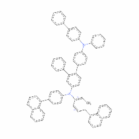 C/C=C(\C=C/Cc1cccc2ccccc12)N(c1ccc(-c2cccc3ccccc23)cc1)c1ccc(-c2ccc(N(c3ccccc3)c3ccc(-c4ccccc4)cc3)cc2)c(-c2ccccc2)c1